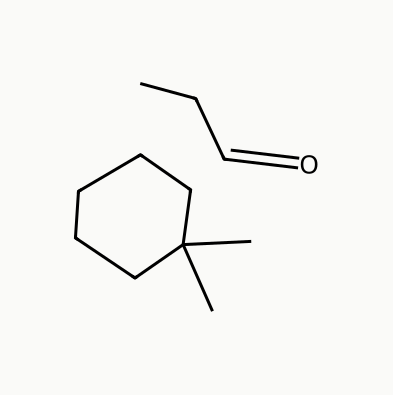 CC1(C)CCCCC1.CCC=O